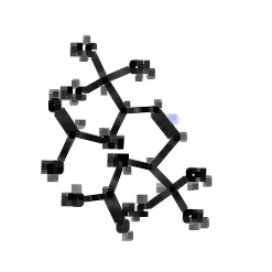 CC(C)(C)C(/C=C\C(NC(=O)O)C(C)(C)C)NC(=O)O